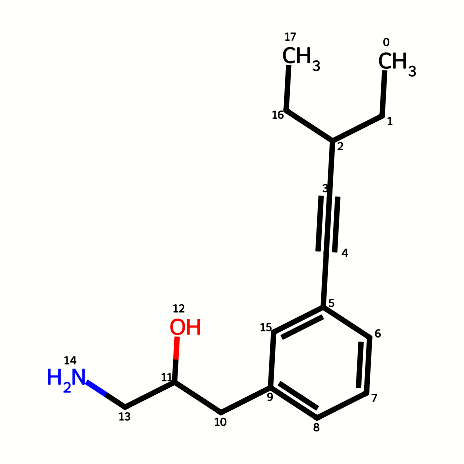 CCC(C#Cc1cccc(CC(O)CN)c1)CC